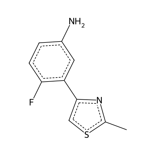 Cc1nc(-c2cc(N)ccc2F)cs1